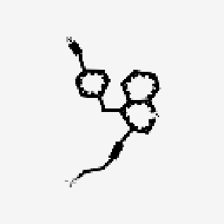 CCCC#Cc1cnc2ccccc2c1Cc1ccc(C#N)cc1